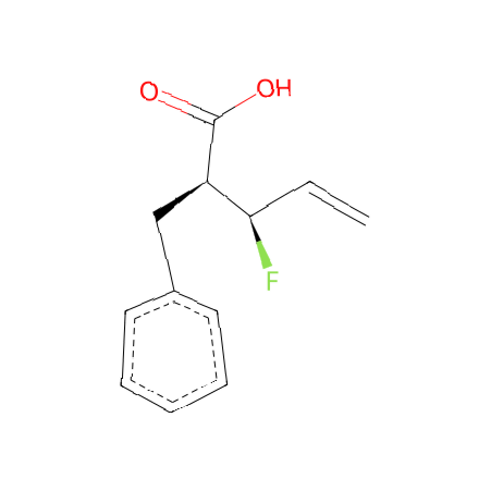 C=C[C@@H](F)[C@@H](Cc1ccccc1)C(=O)O